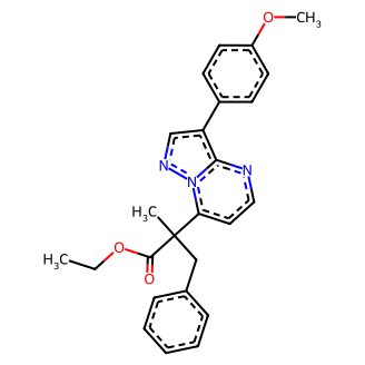 CCOC(=O)C(C)(Cc1ccccc1)c1ccnc2c(-c3ccc(OC)cc3)cnn12